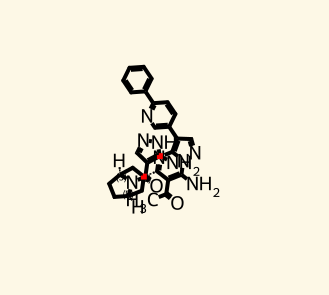 CC(=O)c1c([C@@H]2C[C@H]3CC[C@@H](C2)N3C(=O)c2cn[nH]c2N)nc2c(-c3ccc(-c4ccccc4)nc3)cnn2c1N